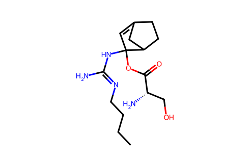 CCCCN=C(N)NC1(OC(=O)[C@@H](N)CO)C=C2CCC1C2